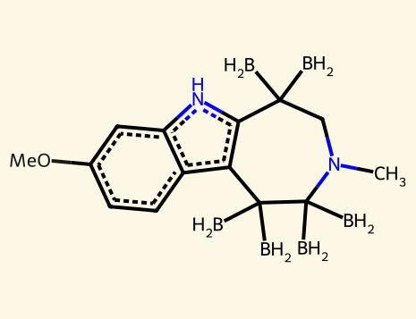 BC1(B)CN(C)C(B)(B)C(B)(B)c2c1[nH]c1cc(OC)ccc21